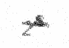 CCCCCCCCCCCCCCCCCCOC[C@H](COP(=O)(O)OC[C@@]1(C#N)OC(c2ccc3c(N)ncnn23)[C@@H]2OC(C)(C)O[C@@H]21)OCc1cccc(C#N)n1